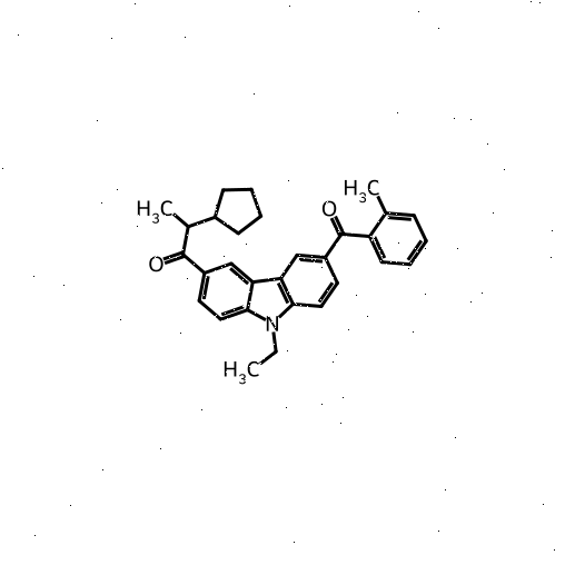 CCn1c2ccc(C(=O)c3ccccc3C)cc2c2cc(C(=O)C(C)C3CCCC3)ccc21